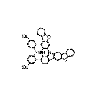 CC(C)(C)c1ccc(Nc2ccc(C(C)(C)C)cc2-c2ccc3c4cc5sc6ccccc6c5cc4n4c3c2Bc2cc3c(cc2-4)oc2ccccc23)cc1